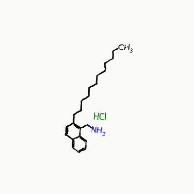 CCCCCCCCCCCCc1ccc2ccccc2c1CN.Cl